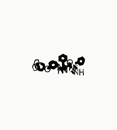 O=C(c1nnn(-c2cccc(OC3CCS(=O)(=O)CC3)c2)c1-c1ccccc1)N1CCNC[C@H]1Cc1ccccc1